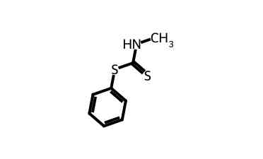 CNC(=S)Sc1ccccc1